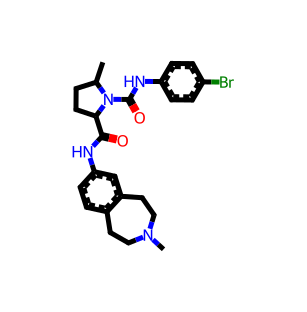 CC1CCC(C(=O)Nc2ccc3c(c2)CCN(C)CC3)N1C(=O)Nc1ccc(Br)cc1